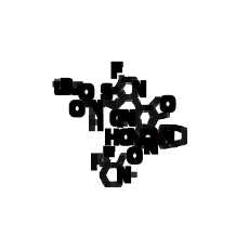 CN1CCCC(F)(F)C1COc1nc(N2C3CCC2CN(C(=O)O)C3)c2c3c(c(-c4ncc(F)c5sc(NC(=O)OC(C)(C)C)c(C#N)c45)c(F)c2n1)COC3